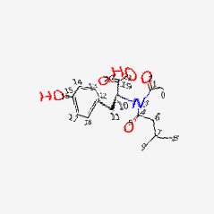 CC(=O)N(C(=O)CC(C)C)[C@@H](Cc1ccc(O)cc1)C(=O)O